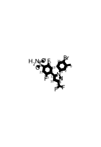 Cc1cc(-n2nc(C(F)F)cc2-c2cc(F)c(S(N)(=O)=O)cc2F)ccc1Br